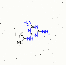 CC(C#N)Nc1nc(N)nc(N)n1